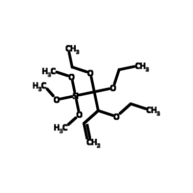 C=CC(OCC)C(OCC)(OCC)[Si](OC)(OC)OC